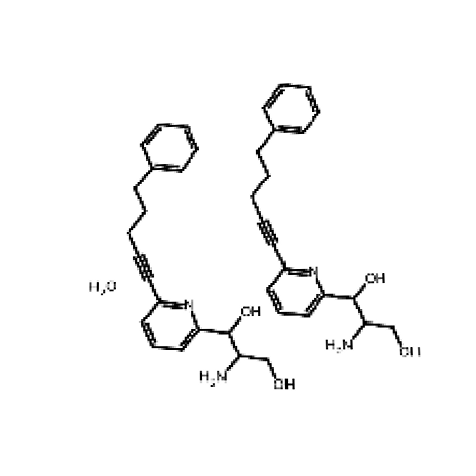 NC(CO)C(O)c1cccc(C#CCCCc2ccccc2)n1.NC(CO)C(O)c1cccc(C#CCCCc2ccccc2)n1.O